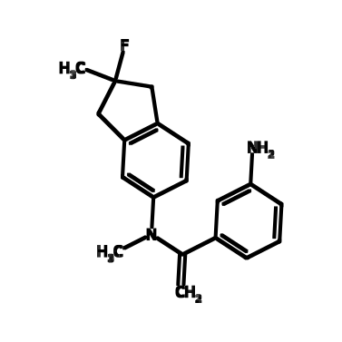 C=C(c1cccc(N)c1)N(C)c1ccc2c(c1)CC(C)(F)C2